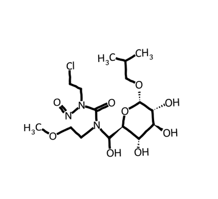 COCCN(C(=O)N(CCCl)N=O)C(O)[C@H]1O[C@H](OCC(C)C)[C@H](O)[C@@H](O)[C@@H]1O